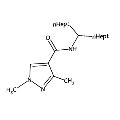 CCCCCCCC(CCCCCCC)NC(=O)c1cn(C)nc1C